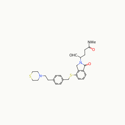 CNC(=O)CCC(C=O)N1Cc2c(SCc3ccc(CCN4CCSCC4)cc3)cccc2C1=O